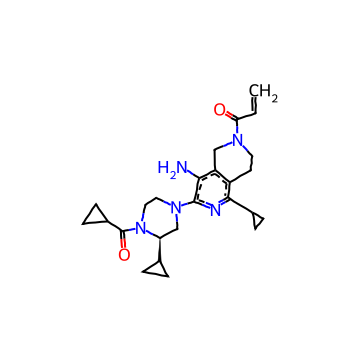 C=CC(=O)N1CCc2c(C3CC3)nc(N3CCN(C(=O)C4CC4)[C@H](C4CC4)C3)c(N)c2C1